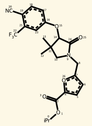 CC(C)OC(=O)c1ccc(CN2CC(C)(C)C(Oc3ccc(C#N)c(C(F)(F)F)c3)C2=O)o1